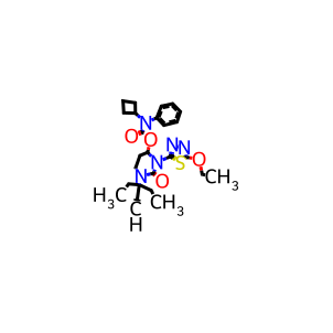 C#CC(CC)(CC)N1CCC(OC(=O)N(c2ccccc2)C2CCC2)N(c2nnc(OCC)s2)C1=O